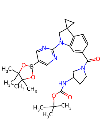 CC(C)(C)OC(=O)NC1CCN(C(=O)c2ccc3c(c2)N(c2ncc(B4OC(C)(C)C(C)(C)O4)cn2)CC32CC2)C1